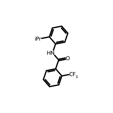 CC(C)c1ccccc1NC(=O)c1ccccc1C(F)(F)F